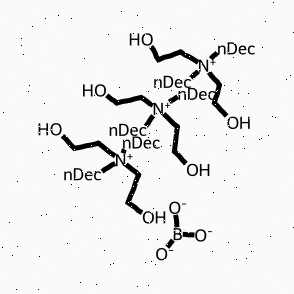 CCCCCCCCCC[N+](CCO)(CCO)CCCCCCCCCC.CCCCCCCCCC[N+](CCO)(CCO)CCCCCCCCCC.CCCCCCCCCC[N+](CCO)(CCO)CCCCCCCCCC.[O-]B([O-])[O-]